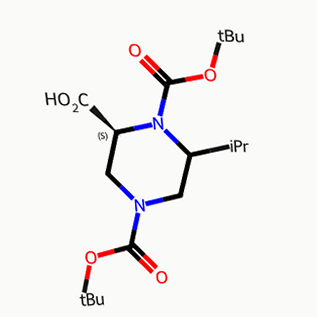 CC(C)C1CN(C(=O)OC(C)(C)C)C[C@@H](C(=O)O)N1C(=O)OC(C)(C)C